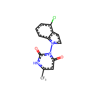 O=c1cc(C(F)(F)F)[nH]c(=O)n1-n1ccc2c(Cl)cccc21